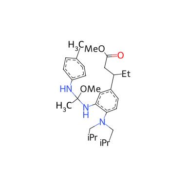 CCC(CC(=O)OC)c1ccc(N(CC(C)C)CC(C)C)c(NC(C)(Nc2ccc(C)cc2)OC)c1